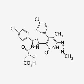 C=N/C=N\c1[nH]c(=O)c(C2=NN(C(=O)C(F)CC(=O)O)C(c3ccc(Cl)cc3)C2)c(-c2ccc(Cl)cc2)c1C